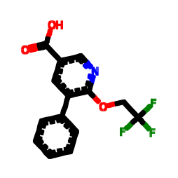 O=C(O)c1cnc(OCC(F)(F)F)c(-c2ccccc2)c1